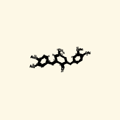 CC(=O)Oc1ccc(CC2CN(C)CC(Cc3ccc(OC(C)=O)c(OC(C)=O)c3)C2=O)cc1OC(C)=O